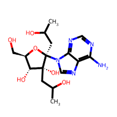 CC(O)C[C@@]1(O)[C@H](O)[C@@H](CO)O[C@@]1(CC(C)O)n1cnc2c(N)ncnc21